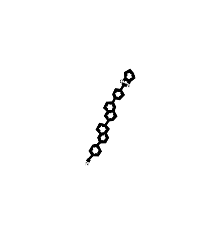 N#Cc1ccc(-c2ccc3cc(-c4ccc5cc(-c6ccc(-c7nc8ccccc8o7)cc6)ccc5c4)ccc3c2)cc1